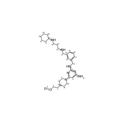 CCOCCN1CCN(c2cc(N)nc(NCc3cccc(CNCCCNC4CCCCC4)c3)n2)CC1